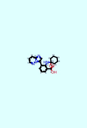 O=C(O)c1cccc(-c2cnc3cccnn23)c1NC1(O)CCCCC1